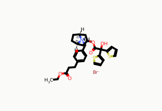 CCOC(=O)CCc1ccc(C[N+]2(C)[C@@H]3CC[C@H]2CC(OC(=O)C(O)(c2cccs2)c2cccs2)C3)cc1.[Br-]